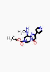 CCOC(=O)N1CCn2c(nc(-c3ccncc3)cc2=O)C(NC)C1